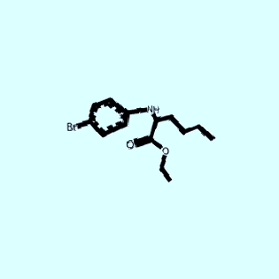 CCCCC(Nc1ccc(Br)cc1)C(=O)OCC